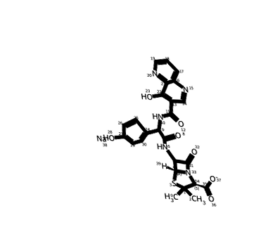 CC1(C)S[C@@H]2C(NC(=O)C(NC(=O)c3cnc4cccnc4c3O)c3ccc(O)cc3)C(=O)N2[C@H]1C(=O)[O-].[Na+]